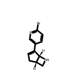 Brc1ccc(C2=CC[C@H]3CN[C@@H]23)cn1